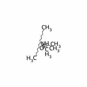 CCCCCCCC(CCCCCCC)N[S+]([O-])C(C)CC(C)C